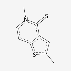 Cc1cc2c(=S)n(C)ccc2s1